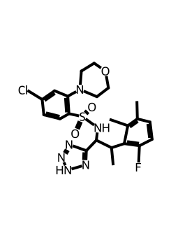 Cc1ccc(F)c(C(C)C(NS(=O)(=O)c2ccc(Cl)cc2N2CCOCC2)c2nn[nH]n2)c1C